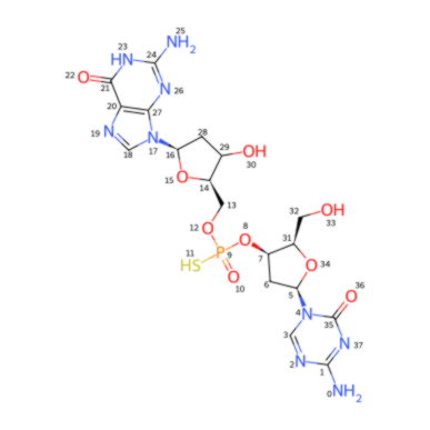 Nc1ncn([C@H]2C[C@@H](OP(=O)(S)OC[C@H]3O[C@@H](n4cnc5c(=O)[nH]c(N)nc54)CC3O)[C@@H](CO)O2)c(=O)n1